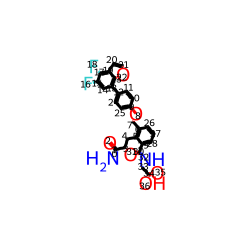 NC(=O)CCc1c(COc2ccc(-c3cc(F)c(F)c4ccoc34)cc2)cccc1C(=O)NCC(=O)O